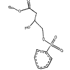 CC(C)(C)OC(=O)CC(O)COS(=O)(=O)c1ccccc1